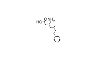 CC(CCc1ccccc1)CC(CN)CC(=O)O